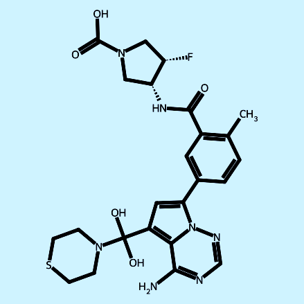 Cc1ccc(-c2cc(C(O)(O)N3CCSCC3)c3c(N)ncnn23)cc1C(=O)N[C@@H]1CN(C(=O)O)C[C@@H]1F